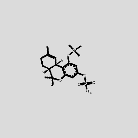 CC1=C[C@@H]2c3c(cc(OS(=O)(=O)C(F)(F)F)cc3O[Si](C)(C)C)OC(C)(C)[C@@H]2CC1